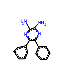 Nc1nc(-c2ccccc2)c(-c2ccccc2)nc1N